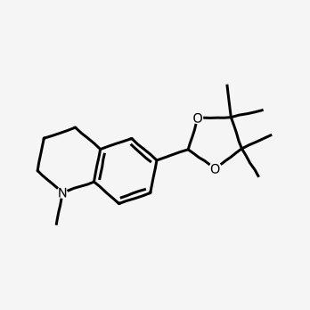 CN1CCCc2cc(C3OC(C)(C)C(C)(C)O3)ccc21